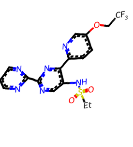 CCS(=O)(=O)Nc1cnc(-c2ncccn2)nc1-c1ccc(OCC(F)(F)F)cn1